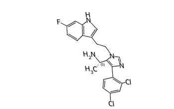 C[C@H](N)c1c(-c2ccc(Cl)cc2Cl)ncn1CCc1c[nH]c2cc(F)ccc12